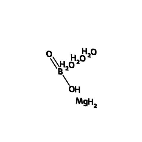 O.O.O.O=BO.[MgH2]